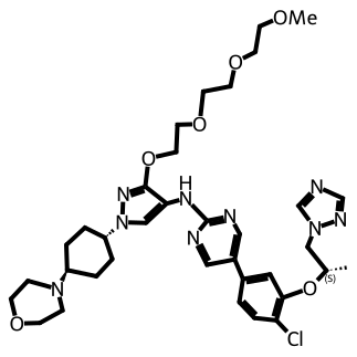 COCCOCCOCCOc1nn([C@H]2CC[C@H](N3CCOCC3)CC2)cc1Nc1ncc(-c2ccc(Cl)c(O[C@@H](C)Cn3cncn3)c2)cn1